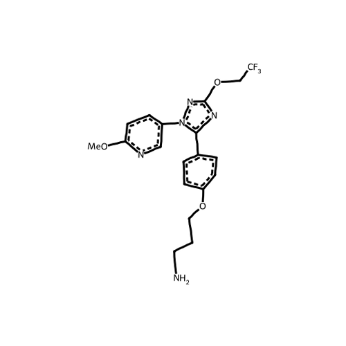 COc1ccc(-n2nc(OCC(F)(F)F)nc2-c2ccc(OCCCN)cc2)cn1